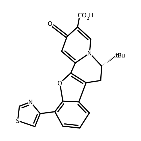 CC(C)(C)[C@@H]1Cc2c(oc3c(-c4cscn4)cccc23)-c2cc(=O)c(C(=O)O)cn21